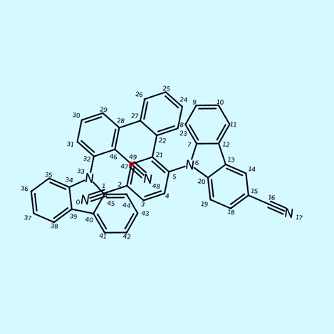 N#Cc1ccc(-n2c3ccccc3c3cc(C#N)ccc32)c(-c2ccccc2-c2cccc(-n3c4ccccc4c4ccccc43)c2C#N)c1